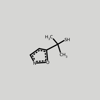 CC(C)(S)c1ccno1